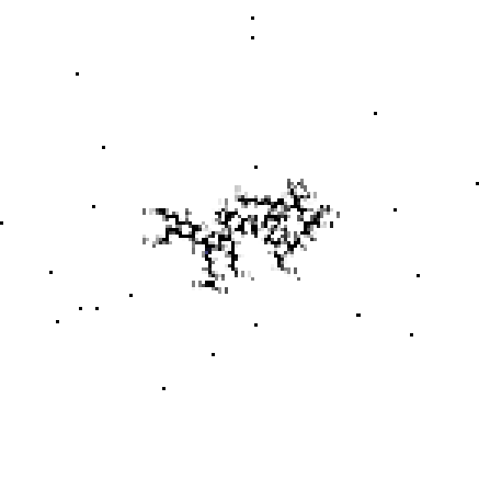 C[C@H](NC(=O)[C@@H](NC(=O)[C@@H](NC(=O)[C@@H](N)CCCCN)[C@@H](O)CN)[C@@H](O)CN)C(=O)N[C@H](CCCN)C(=O)N1CCC[C@H]1C(=O)N[C@@H](Cc1cnc[nH]1)C(=O)N[C@@H](CCCCN)C(=O)N/C(=C\CCNC(=N)N)C(=O)N[C@@H](CCCCN)C(=O)NCCCCN